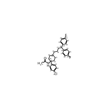 CC(=O)NC1(c2ccc(Cl)cc2)CCN(CCCC(c2ccc(F)cc2)c2ccc(F)cc2)CC1